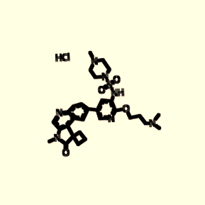 CN(C)CCCOc1ncc(-c2ccc3ncc4c(c3c2)C2(CCC2)C(=O)N4C)cc1NS(=O)(=O)N1CCN(C)CC1.Cl